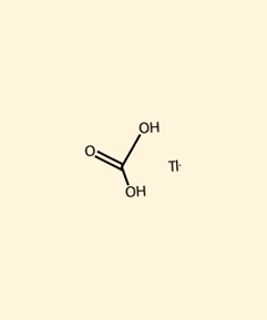 O=C(O)O.[Tl]